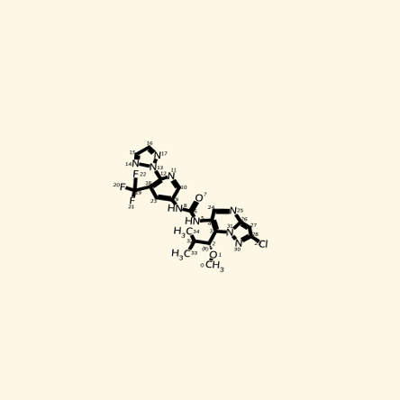 CO[C@@H](c1c(NC(=O)Nc2cnc(-n3nccn3)c(C(F)(F)F)c2)cnc2cc(Cl)nn12)C(C)C